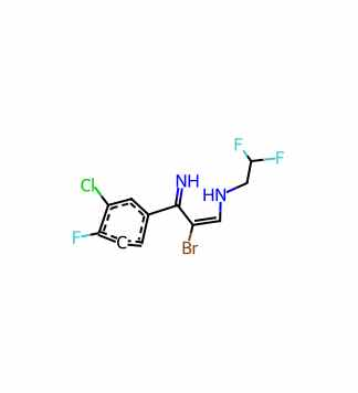 N=C(/C(Br)=C\NCC(F)F)c1ccc(F)c(Cl)c1